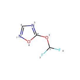 FC(F)Oc1n[c]no1